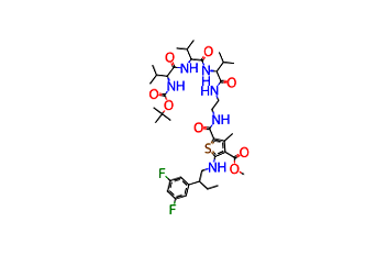 CCC(CNc1sc(C(=O)NCCNC(=O)[C@@H](NC(=O)[C@@H](NC(=O)[C@@H](NC(=O)OC(C)(C)C)C(C)C)C(C)C)C(C)C)c(C)c1C(=O)OC)c1cc(F)cc(F)c1